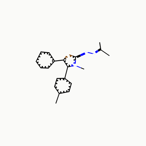 CC(C)=NN=c1sc(-c2ccccc2)c(-c2ccc(C)cc2)n1C